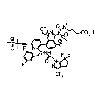 CN(CCCC(=O)O)C(=O)N(c1nn(CC(F)(F)F)c2c(-c3ccc(C#CC(C)(C)S(C)(=O)=O)nc3[C@H](Cc3cc(F)cc(F)c3)NC(=O)Cn3nc(C(F)(F)F)c4c3C(F)(F)CC4)ccc(Cl)c12)S(C)(=O)=O